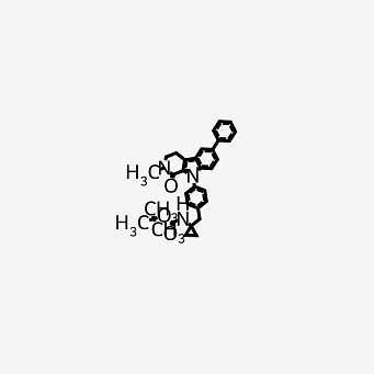 CN1CCc2c(n(-c3ccc(CC4(NC(=O)OC(C)(C)C)CC4)cc3)c3ccc(-c4ccccc4)cc23)C1=O